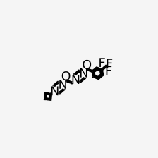 O=C(CN1CCN(C(=O)c2cccc(C(F)(F)F)c2)CC1)N1CCN(C2CCC2)CC1